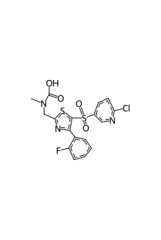 CN(Cc1nc(-c2ccccc2F)c(S(=O)(=O)c2ccc(Cl)nc2)s1)C(=O)O